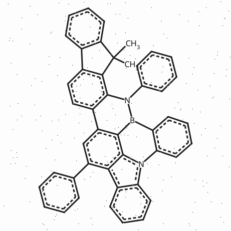 CC1(C)c2ccccc2-c2ccc3c(c21)N(c1ccccc1)B1c2ccccc2-n2c4ccccc4c4c(-c5ccccc5)cc-3c1c42